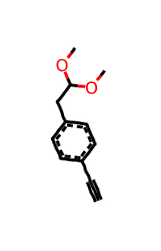 C#Cc1ccc(CC(OC)OC)cc1